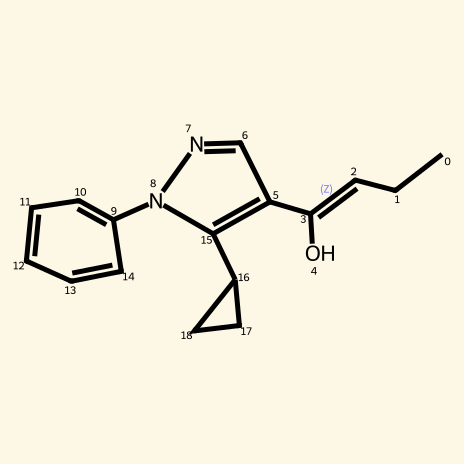 CC/C=C(\O)c1cnn(-c2ccccc2)c1C1CC1